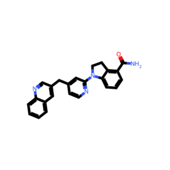 NC(=O)c1cccc2c1CCN2c1cc(Cc2cnc3ccccc3c2)ccn1